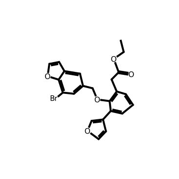 CCOC(=O)Cc1cccc(-c2ccoc2)c1OCc1cc(Br)c2occc2c1